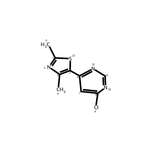 Cc1nc(C)c(-c2cc(Cl)ncn2)s1